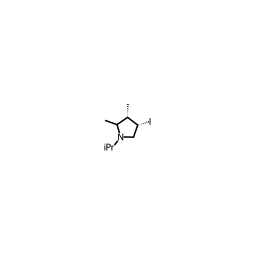 CC(C)N1C[C@@H](I)[C@@H](C)C1C